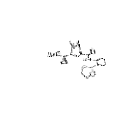 COC(=O)c1cc(C(=O)Nc2ccccc2C2OCCO2)nn1C